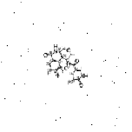 CN(C(=O)c1c[nH]c(=O)c(F)c1)C1COCc2[nH]c(=O)c3cc(F)c(F)cc3c21